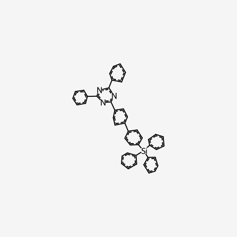 c1ccc(-c2nc(-c3ccccc3)nc(-c3ccc(-c4ccc([Si](c5ccccc5)(c5ccccc5)c5ccccc5)cc4)cc3)n2)cc1